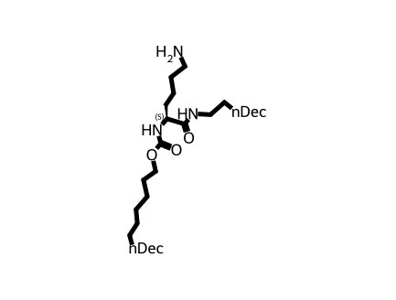 CCCCCCCCCCCCCCCCOC(=O)N[C@@H](CCCCN)C(=O)NCCCCCCCCCCCC